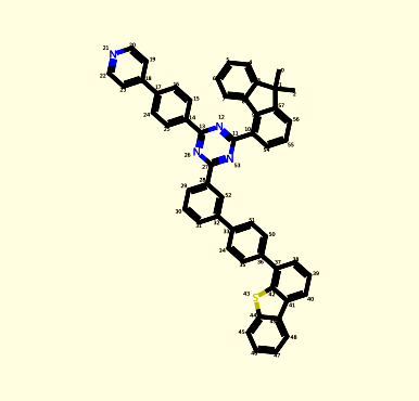 CC1(C)c2ccccc2-c2c(-c3nc(-c4ccc(-c5ccncc5)cc4)nc(-c4cccc(-c5ccc(-c6cccc7c6sc6ccccc67)cc5)c4)n3)cccc21